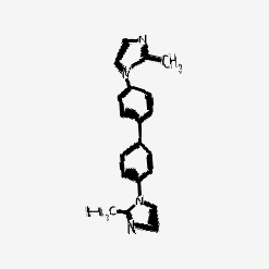 Cc1nccn1-c1ccc(-c2ccc(-n3ccnc3C)cc2)cc1